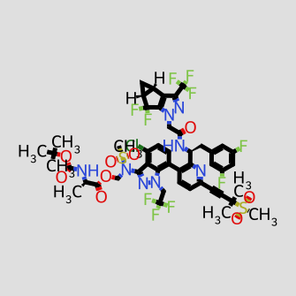 C[C@@H](NC(=O)OC(C)(C)C)C(=O)OCN(c1nn(CC(F)(F)F)c2c(-c3ccc(C#CC(C)(C)S(C)(=O)=O)nc3[C@H](Cc3cc(F)cc(F)c3)NC(=O)Cn3nc(C(F)(F)F)c4c3C(F)(F)[C@@H]3C[C@H]43)ccc(Cl)c12)S(C)(=O)=O